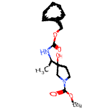 CC(NC(=O)OCc1ccccc1)C1(O)CCN(C(=O)OC(C)(C)C)C1